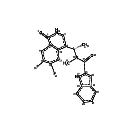 C[C@@H](c1c[nH]c(=O)c2cc(F)c(F)cc12)N(C)C(=O)c1cc2ccccc2[nH]1